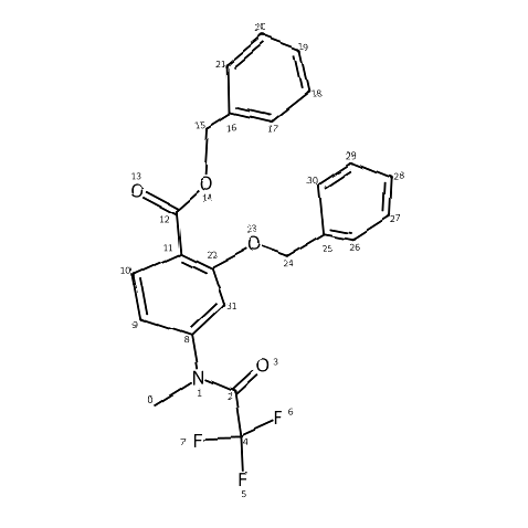 CN(C(=O)C(F)(F)F)c1ccc(C(=O)OCc2ccccc2)c(OCc2ccccc2)c1